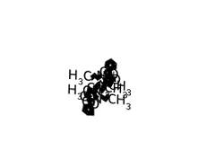 CCCC/N=C1\C(N2CCN(C3/C(=N\CCCC)N(S(=O)(=O)c4ccccc4)C(=O)C3(C)C)CC2)C(C)(C)C(=O)N1S(=O)(=O)c1ccccc1